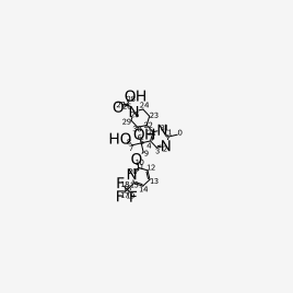 Cc1ncc(C(O)(CO)COc2cccc(C(F)(F)F)n2)c(C2CCN(C(=O)O)CC2)n1